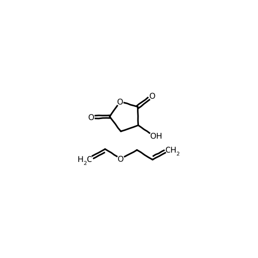 C=CCOC=C.O=C1CC(O)C(=O)O1